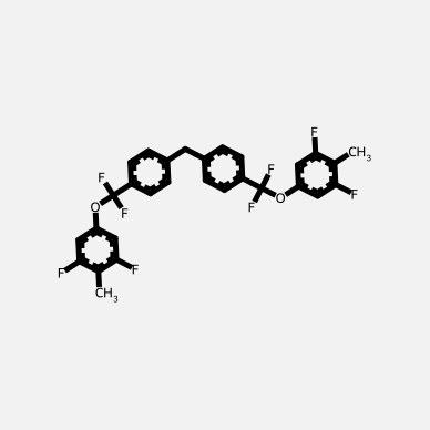 Cc1c(F)cc(OC(F)(F)c2ccc(Cc3ccc(C(F)(F)Oc4cc(F)c(C)c(F)c4)cc3)cc2)cc1F